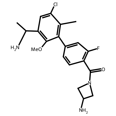 COc1c(C(C)N)cc(Cl)c(C)c1-c1ccc(C(=O)N2CC(N)C2)c(F)c1